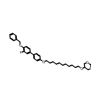 O=C1OCC(OCCCCCCCCCCCOc2ccc(-c3ccc(OCc4ccccc4)c(F)c3)cc2)CO1